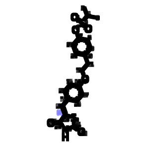 CC(C)S(=O)(=O)Oc1ccc(CCOc2ccc(/C=C3\SC(=O)NC3=O)cc2)cc1